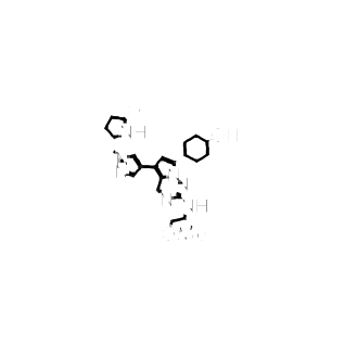 COC[C@H](C)Nc1ncc2c(-c3cnn(C[C@@H]4CCC(=O)N4)c3)cc([C@H]3CC[C@H](O)CC3)n2n1